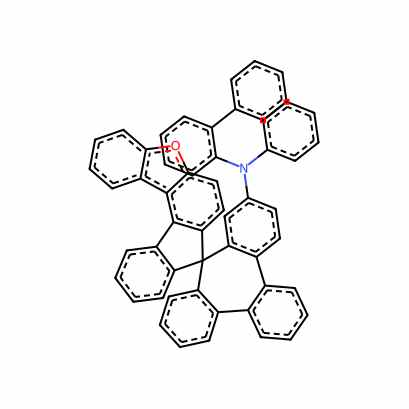 c1ccc(-c2ccccc2N(c2ccccc2)c2ccc3c(c2)C2(c4ccccc4-c4ccccc4-3)c3ccccc3-c3c2ccc2oc4ccccc4c32)cc1